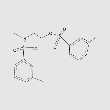 Cc1cccc(S(=O)(=O)OCCN(C)S(=O)(=O)c2cccc(C)c2)c1